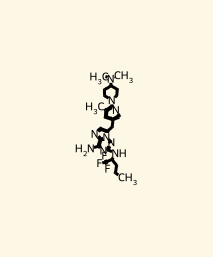 CCCC(Nc1nc(N)c2ncc(Cc3cnc(N4CCC(N(C)C)CC4)c(C)c3)n2n1)C(F)(F)F